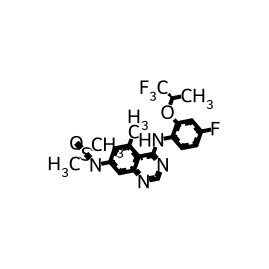 Cc1cc(N=S(C)(C)=O)cc2ncnc(Nc3ccc(F)cc3O[C@H](C)C(F)(F)F)c12